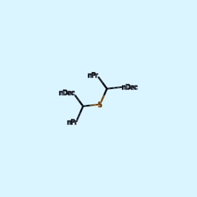 CCCCCCCCCCC(CCC)SC(CCC)CCCCCCCCCC